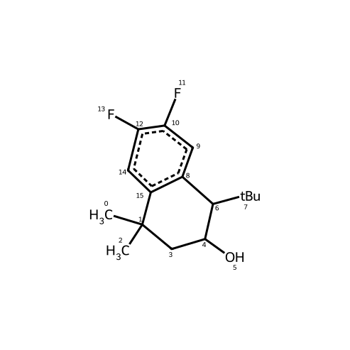 CC1(C)CC(O)C(C(C)(C)C)c2cc(F)c(F)cc21